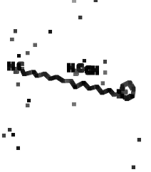 CCCCCCCCCCCCCCCC[n+]1ccccc1.CO